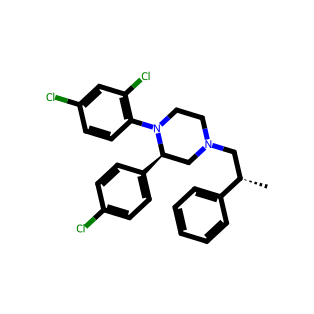 C[C@@H](CN1CCN(c2ccc(Cl)cc2Cl)[C@H](c2ccc(Cl)cc2)C1)c1ccccc1